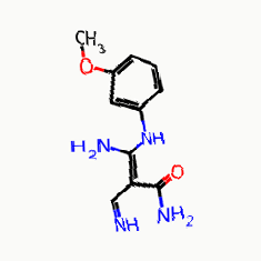 COc1cccc(N/C(N)=C(/C=N)C(N)=O)c1